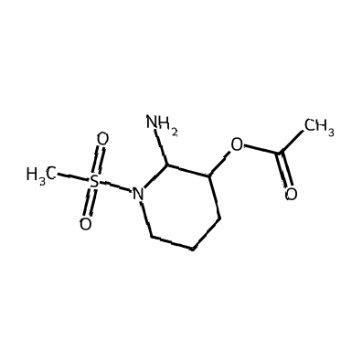 CC(=O)OC1CCCN(S(C)(=O)=O)C1N